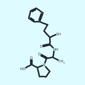 CC(NC(=O)C(S)CCc1ccccc1)C(=O)N1CCCC1C(=O)O